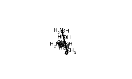 CC(CCC(O)N[C@@H](CSSCC(N)C(N)O)C(O)NCCCCC(O)NCCCCC(N)O)C1CCCCC1